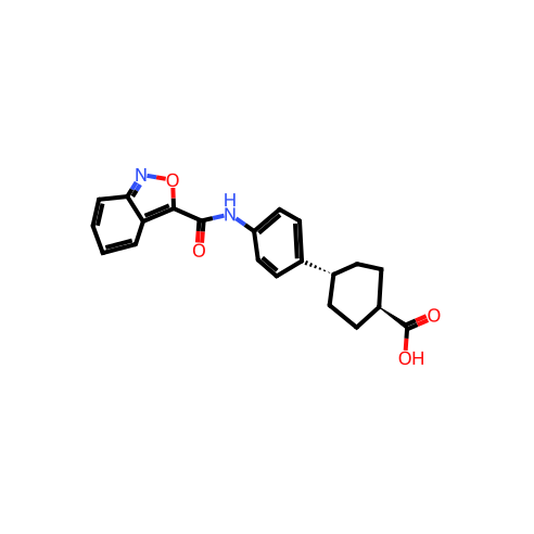 O=C(Nc1ccc([C@H]2CC[C@H](C(=O)O)CC2)cc1)c1onc2ccccc12